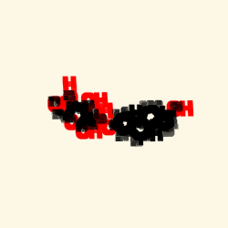 C[C@]12CC[C@@H]3c4ccc(OOC[C@@]5(O)C(O)O[C@H](CO)[C@H](O)[C@@H]5O)cc4CC[C@H]3[C@@H]1CC[C@@H]2O